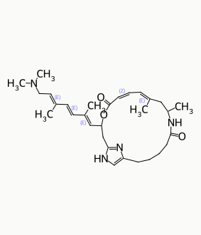 CC(/C=C/C(C)=C/C1Cc2nc(c[nH]2)CCCCC(=O)NC(C)C/C(C)=C/C=C\C(=O)O1)=C\CN(C)C